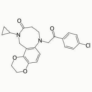 O=C(CN1CCC(=O)N(C2CC2)Cc2c1ccc1c2OCCO1)c1ccc(Cl)cc1